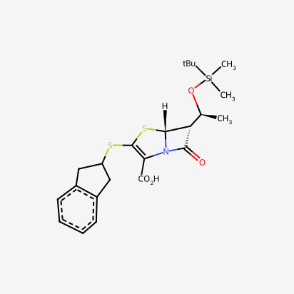 C[C@H](O[Si](C)(C)C(C)(C)C)[C@@H]1C(=O)N2C(C(=O)O)=C(SC3Cc4ccccc4C3)S[C@H]12